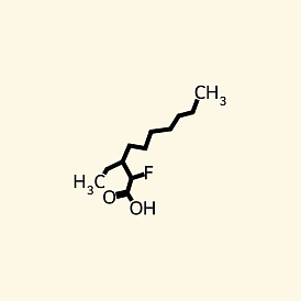 CCCCCCCC(CC)C(F)C(=O)O